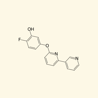 Oc1cc(Oc2cccc(-c3cccnc3)n2)ccc1F